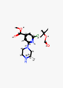 CC(C)(C)OC=O.COC(=O)c1cc(Cl)nc(N2CCN[C@@H](C)C2)c1